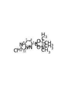 CC1(C)OB(c2ccc3nc(Cl)cn3n2)OC1(C)C